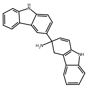 NC1(c2ccc3[nH]c4ccccc4c3c2)C=Cc2[nH]c3ccccc3c2C1